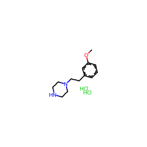 COc1cccc(CCN2CCNCC2)c1.Cl.Cl